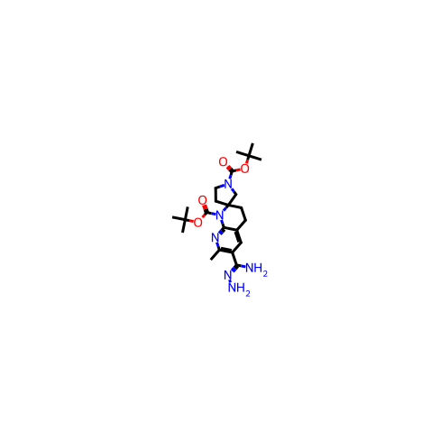 Cc1nc2c(cc1/C(N)=N/N)CCC1(CCN(C(=O)OC(C)(C)C)C1)N2C(=O)OC(C)(C)C